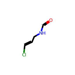 O=[C]NC/C=C/Cl